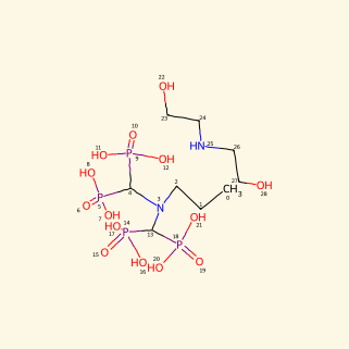 CCCN(C(P(=O)(O)O)P(=O)(O)O)C(P(=O)(O)O)P(=O)(O)O.OCCNCCO